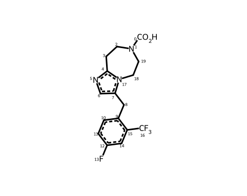 O=C(O)N1CCc2ncc(Cc3ccc(F)cc3C(F)(F)F)n2CC1